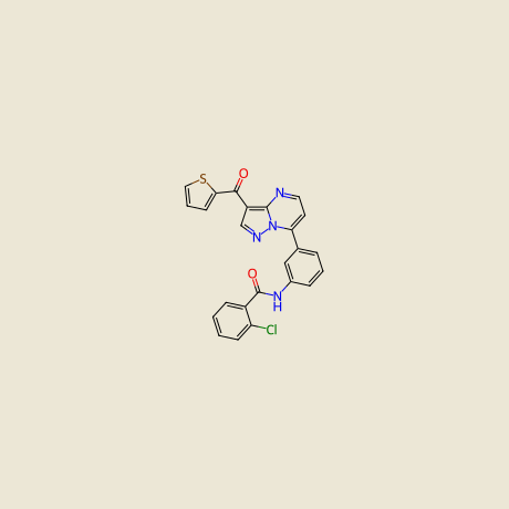 O=C(Nc1cccc(-c2ccnc3c(C(=O)c4cccs4)cnn23)c1)c1ccccc1Cl